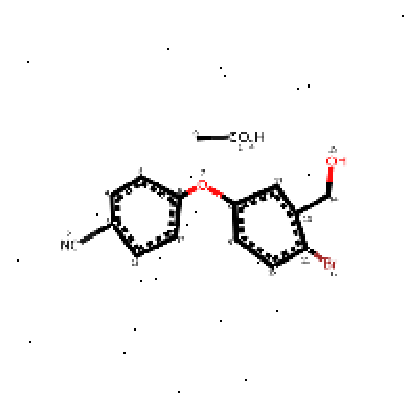 CC(=O)O.N#Cc1ccc(Oc2ccc(Br)c(CO)c2)cc1